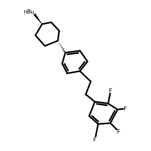 CCCC[C@H]1CC[C@H](c2ccc(CCc3cc(F)c(F)c(F)c3F)cc2)CC1